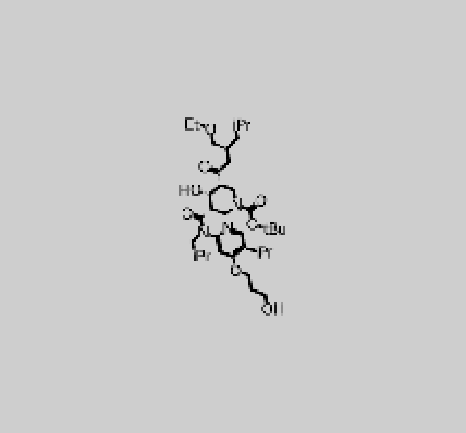 CCOC[C@H](CC(=O)[C@@H]1CN(C(=O)OC(C)(C)C)C[C@H](C(=O)N(CC(C)C)c2cc(OCCCO)c(C(C)C)cn2)[C@@H]1O)CC(C)C